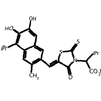 Cc1cc2c(C(C)C)c(O)c(O)cc2cc1/C=C1\SC(=S)N(C(C(=O)O)C(C)C)C1=O